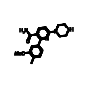 COc1cc(-c2nc(N3CCNCC3)ccc2C(N)=O)ccc1C